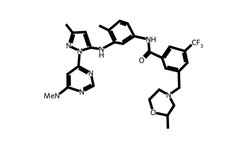 CNc1cc(-n2nc(C)cc2Nc2cc(NC(=O)c3cc(CN4CCOC(C)C4)cc(C(F)(F)F)c3)ccc2C)ncn1